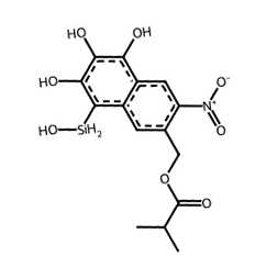 CC(C)C(=O)OCc1cc2c([SiH2]O)c(O)c(O)c(O)c2cc1[N+](=O)[O-]